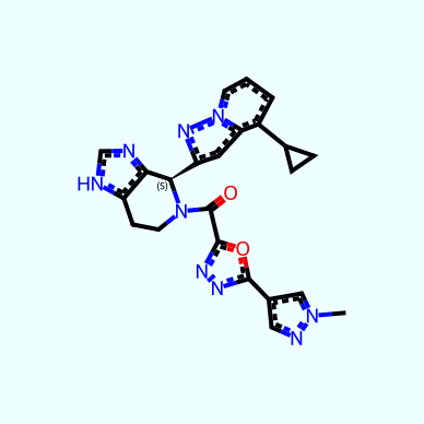 Cn1cc(-c2nnc(C(=O)N3CCc4[nH]cnc4[C@H]3c3cc4c(C5CC5)cccn4n3)o2)cn1